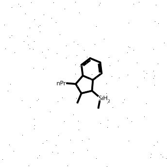 CCCC1C(C)C([SiH2]C)C2C=CC=CC21